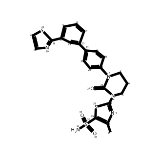 Cc1nc(N2CCCN(c3ccc(-c4cccc(-c5nccs5)c4)cc3)C2=O)sc1S(N)(=O)=O